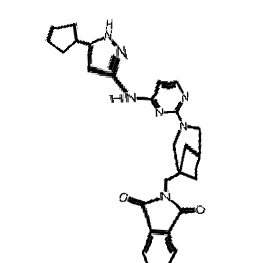 O=C1c2ccccc2C(=O)N1CC12CC(CN(c3nccc(Nc4cc(C5CCCC5)[nH]n4)n3)C1)C2